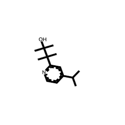 CC(C)c1ccnc(C(C)(C)C(C)(C)O)c1